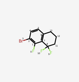 Fc1c(Br)ccc2c1C(F)(F)CCC2